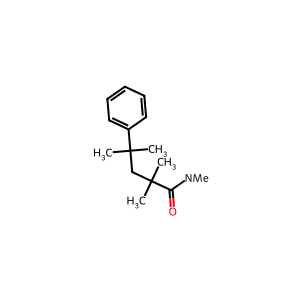 CNC(=O)C(C)(C)CC(C)(C)c1ccccc1